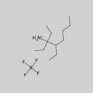 CCCCC(CC)C([NH3+])(CC)CC.F[B-](F)(F)F